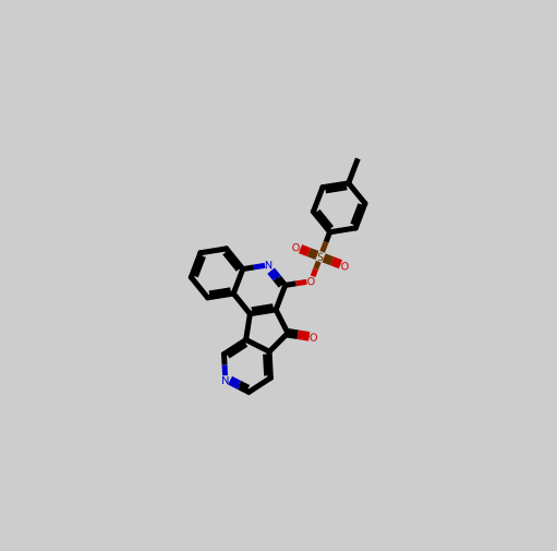 Cc1ccc(S(=O)(=O)Oc2nc3ccccc3c3c2C(=O)c2ccncc2-3)cc1